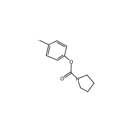 [CH2]c1ccc(OC(=O)N2CCCC2)cc1